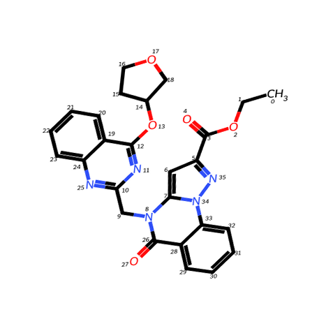 CCOC(=O)c1cc2n(Cc3nc(OC4CCOC4)c4ccccc4n3)c(=O)c3ccccc3n2n1